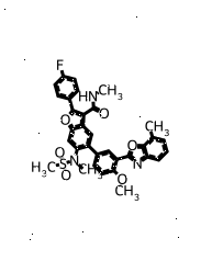 CNC(=O)c1c(-c2ccc(F)cc2)oc2cc(N(C)S(C)(=O)=O)c(-c3ccc(OC)c(-c4nc5cccc(C)c5o4)c3)cc12